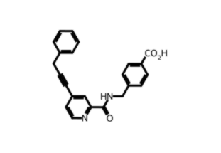 O=C(O)c1ccc(CNC(=O)c2cc(C#CCc3ccccc3)ccn2)cc1